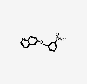 O=[N+]([O-])c1cccc(COc2ccc3ncccc3c2)c1